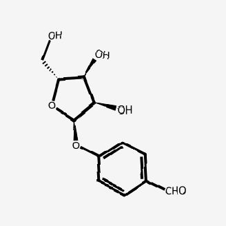 O=Cc1ccc(O[C@H]2O[C@H](CO)[C@@H](O)[C@H]2O)cc1